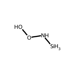 OON[SiH3]